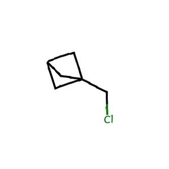 ClCC12CC(C1)C2